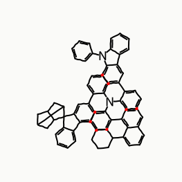 c1ccc(-n2c3ccccc3c3cc(-c4ccccc4N(c4ccccc4-c4ccc5c(c4)C4(c6ccccc6-5)C5CC6CC5CC64)c4ccccc4-c4cccc5cccc(C6CCCCC6)c45)ccc32)cc1